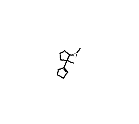 COC1CCCC1(C)C1=CCCC1